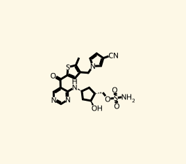 Cc1sc(C(=O)c2cncnc2N[C@@H]2C[C@H](COS(N)(=O)=O)[C@@H](O)C2)cc1Cn1ccc(C#N)c1